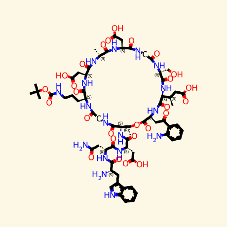 C[C@H](CC(=O)O)[C@@H]1NC(=O)[C@@H](CO)NC(=O)CNC(=O)[C@H](CC(=O)O)NC(=O)[C@@H](C)NC(=O)[C@H](CC(=O)O)NC(=O)[C@H](CCCNC(=O)OC(C)(C)C)NC(=O)CNC(=O)[C@@H](NC(=O)[C@H](CC(=O)O)NC(=O)[C@@H](CC(N)=O)NC(=O)[C@@H](N)Cc2c[nH]c3ccccc23)[C@@H](C)OC(=O)[C@H](CC(=O)c2ccccc2N)NC1=O